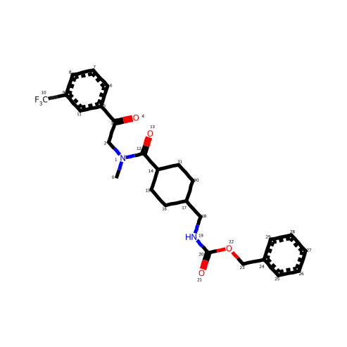 CN(CC(=O)c1cccc(C(F)(F)F)c1)C(=O)C1CCC(CNC(=O)OCc2ccccc2)CC1